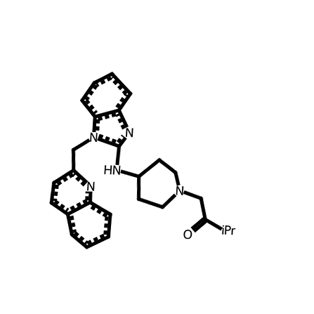 CC(C)C(=O)CN1CCC(Nc2nc3ccccc3n2Cc2ccc3ccccc3n2)CC1